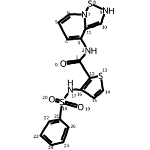 O=C(NC1=CC=CN2SNC=C12)c1sccc1NS(=O)(=O)c1ccccc1